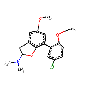 COc1cc2c(c(-c3cc(Cl)ccc3OC)c1)OC(N(C)C)C2